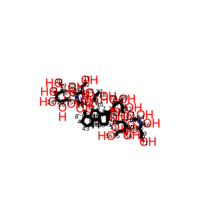 C=C1C[C@@]23CCC4[C@](C)(C(=O)O[C@H](O)/C(O[C@@H]5O[C@@H](CO)C(O)C(O)C5O)=C(/OO)[C@@H](CCO)OOC(CO)[C@H](C)O)CCC[C@@]4(C)[C@@H]2CC[C@]1(O[C@@H]1OC(CO)C(O)[C@@H](O[C@H](O)/C(O)=C(/O)[C@H](O)CCO)C1O[C@@H]1OC[C@@H](O)C(O)C1O)C3